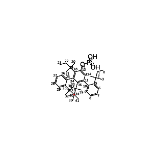 CCC(C)(C)c1ccccc1-c1cc(OP(O)O)c(C(C)(C)CC)c(-c2ccccc2C(C)(C)CC)c1C(C)(C)CC